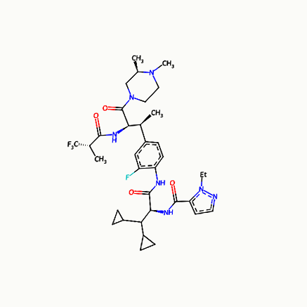 CCn1nccc1C(=O)N[C@H](C(=O)Nc1ccc([C@H](C)[C@@H](NC(=O)[C@H](C)C(F)(F)F)C(=O)N2CCN(C)[C@H](C)C2)cc1F)C(C1CC1)C1CC1